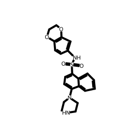 O=S(=O)(Nc1ccc2c(c1)OCCO2)c1ccc(N2CCNCC2)c2ccccc12